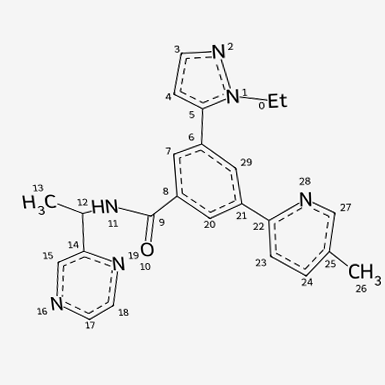 CCn1nccc1-c1cc(C(=O)NC(C)c2cnccn2)cc(-c2ccc(C)cn2)c1